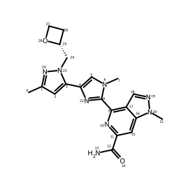 Cc1cc(-c2cn(C)c(-c3nc(C(N)=O)cc4c3cnn4C)n2)n(C[C@H]2CCO2)n1